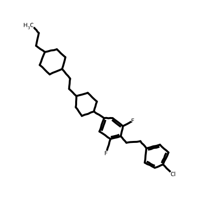 CCCC1CCC(CCC2CCC(c3cc(F)c(CCc4ccc(Cl)cc4)c(F)c3)CC2)CC1